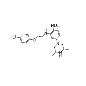 CC1CN(c2ccc([N+](=O)[O-])c(NCCOc3ccc(Cl)cc3)c2)CC(C)N1